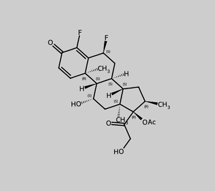 CC(=O)O[C@]1(C(=O)CO)[C@H](C)C[C@H]2[C@@H]3C[C@H](F)C4=C(F)C(=O)C=C[C@]4(C)[C@H]3[C@@H](O)C[C@@]21C